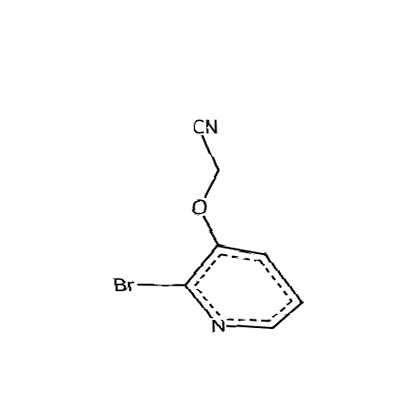 N#CCOc1cccnc1Br